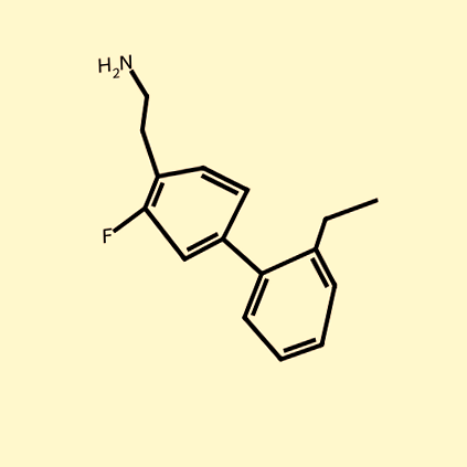 CCc1ccccc1-c1ccc(CCN)c(F)c1